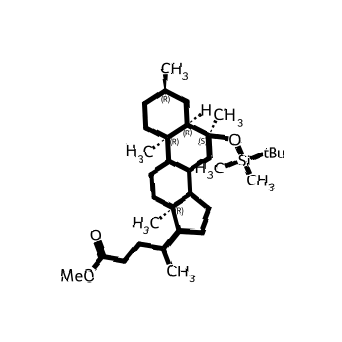 COC(=O)CCC(C)C1CCC2C3C[C@](C)(O[Si](C)(C)C(C)(C)C)[C@@H]4C[C@H](C)CC[C@]4(C)C3CC[C@]12C